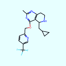 Cc1nc2c(c(OCc3ccc(C(F)(F)F)cn3)n1)C(CC1CC1)NCC2